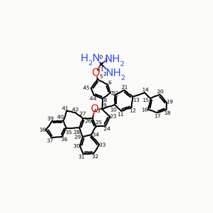 NC(N)(N)Oc1ccc(C2(c3ccc(Cc4ccccc4)cc3)C=Cc3c(c4c(c5ccccc35)-c3ccccc3CC4)O2)cc1